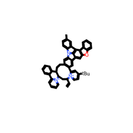 C=CC1CC2C(CCc3cc4c(cc3-c3cc(C(C)(C)C)cc[n+]31)c1cc3oc5ccccc5c3c3c5cc(C)ccc5n4c13)c1ccccc1-c1cccc[n+]12